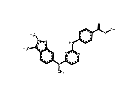 Cc1c2ccc(N(C)c3ccnc(Nc4ccc(C(=O)NO)cc4)n3)cc2nn1C